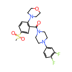 CS(=O)(=O)c1ccc(N2CCOCC2)c(C(=O)N2CCN(c3ccc(F)c(F)c3)CC2)c1